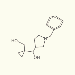 OCC1(C(O)C2CCN(Cc3ccccc3)C2)CC1